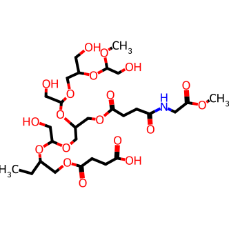 CCC(COC(=O)CCC(=O)O)OC(CO)OCC(COC(=O)CCC(=O)NCC(=O)OC)OC(CO)OCC(CO)OC(CO)OC